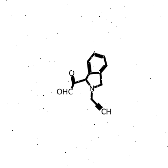 C#CCN1Cc2ccccc2C1C(=O)C=O